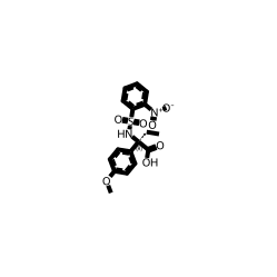 CC[C@](NS(=O)(=O)c1ccccc1[N+](=O)[O-])(C(=O)O)c1ccc(OC)cc1